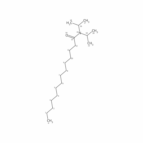 CCCCCCCCCCCCCC(=O)N(C(C)C)C(C)C